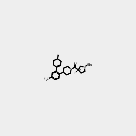 CC1CC=C(c2cc(C(F)(F)F)ccc2C2CCN(C(=O)[C@@]3(F)CCN(C(C)(C)C)C3)CC2)CC1